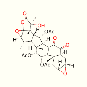 CC(=O)O[C@H]1[C@@H]2[C@H]([C@H](C)[C@H]3O[C@]34OC(=O)[C@@](C)(O)[C@]24C)[C@]2(C)[C@@H]1C1C(=O)C(=O)[C@H]3C[C@@H]4O[C@@H]4C[C@]3(C)C1[C@H](OC(C)=O)[C@@H]2OC(C)=O